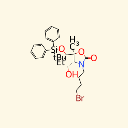 CC[C@@H](O[Si](c1ccccc1)(c1ccccc1)C(C)(C)C)[C@@]1(C)OC(=O)N(CCCCBr)[C@@H]1CO